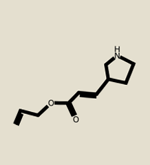 C=CCOC(=O)C=CC1CCNC1